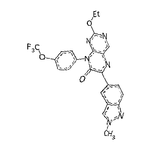 CCOc1ncc2nc(-c3ccc4nn(C)cc4c3)c(=O)n(-c3ccc(OC(F)(F)F)cc3)c2n1